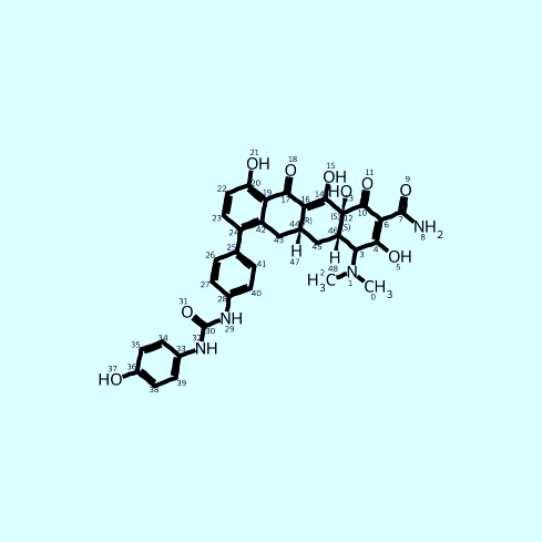 CN(C)C1C(O)=C(C(N)=O)C(=O)[C@@]2(O)C(O)=C3C(=O)c4c(O)ccc(-c5ccc(NC(=O)Nc6ccc(O)cc6)cc5)c4C[C@H]3C[C@@H]12